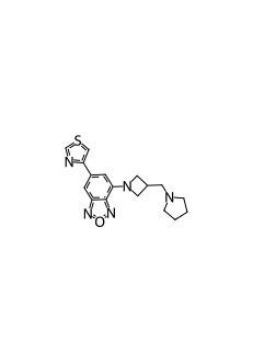 c1nc(-c2cc(N3CC(CN4CCCC4)C3)c3nonc3c2)cs1